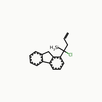 C=CCC([SiH3])(Cl)c1cccc2c1Cc1ccccc1-2